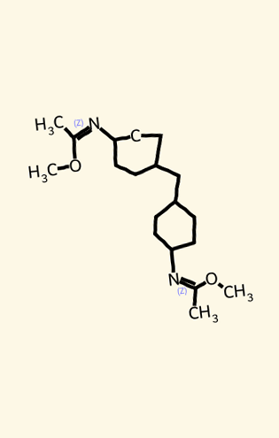 CO/C(C)=N\C1CCC(CC2CCC(/N=C(/C)OC)CC2)CC1